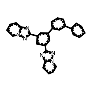 c1ccc(-c2cccc(-c3cc(-c4nc5ccccn5n4)cc(-c4nc5ccccn5n4)c3)c2)cc1